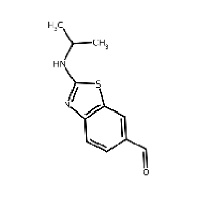 CC(C)Nc1nc2ccc(C=O)cc2s1